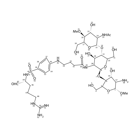 CO[C@@H]1OC(CO)[C@@H](O[C@@H]2OC(CO)[C@@H](O[C@@H]3OC(CO)[C@@H](OC)[C@H](O)C3NC(C)=O)[C@H](O)C2NC(=O)CCCNc2ccc(S(=O)(=O)N[C@@H](C=O)CCCNC(=N)N)cc2)[C@H](O)C1N